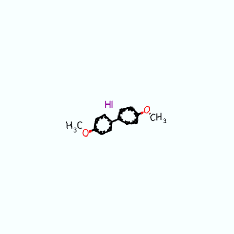 COc1ccc(-c2ccc(OC)cc2)cc1.I